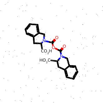 O=C(O)C1Cc2ccccc2CN1C(=O)OC(=O)N1Cc2ccccc2CC1C(=O)O